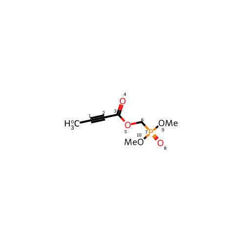 CC#CC(=O)OCP(=O)(OC)OC